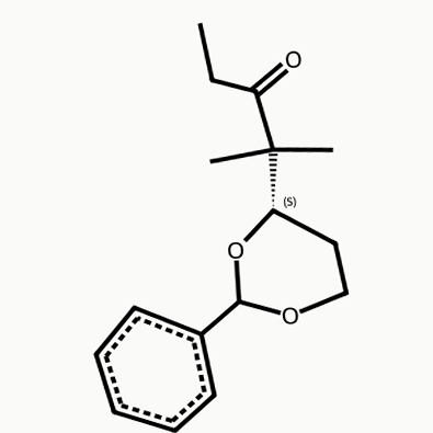 CCC(=O)C(C)(C)[C@@H]1CCOC(c2ccccc2)O1